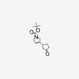 CC(C)(C)OC(=O)N1CC=C(C2CCC(=O)C2)C1